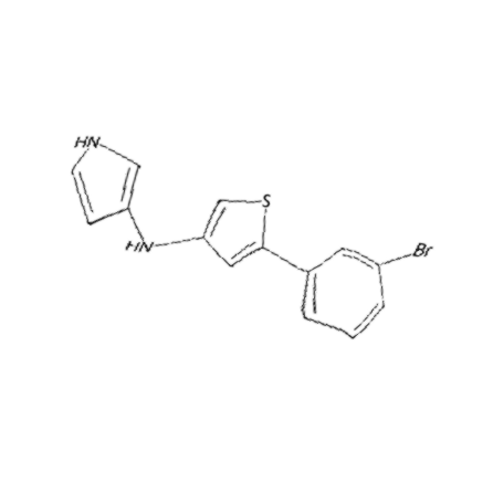 Brc1cccc(-c2cc(Nc3cc[nH]c3)cs2)c1